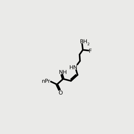 BC(F)CCN/C=C\C(=N)C(=O)CCC